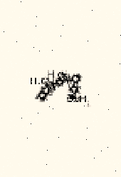 C[C@H](NC(=O)c1ccc2c(c1)OCCN2Cc1ccccc1-c1ccc(C(N)=O)cc1)c1ccc2ccccc2c1